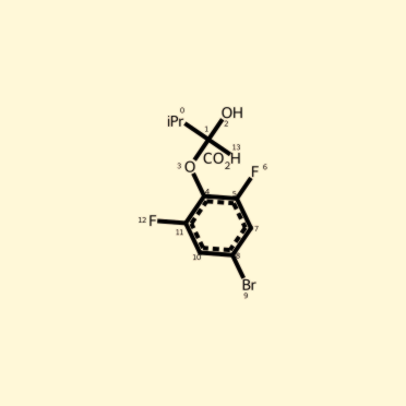 CC(C)C(O)(Oc1c(F)cc(Br)cc1F)C(=O)O